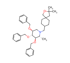 C[C@@H]1[C@@H](OCc2ccccc2)[C@H](OCc2ccccc2)[C@@H](OCc2ccccc2)CN1CC1CCC2(CC1)COC(C)(C)C2